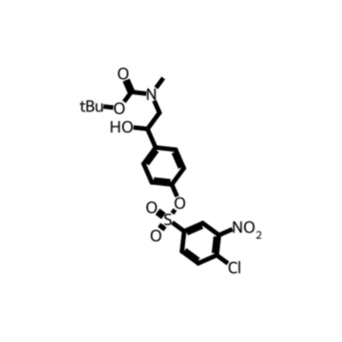 CN(CC(O)c1ccc(OS(=O)(=O)c2ccc(Cl)c([N+](=O)[O-])c2)cc1)C(=O)OC(C)(C)C